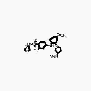 CNC1CCN(c2cc(OC(F)(F)F)ccc2Nc2ccc(S(=O)(=O)Nc3cscn3)c(F)c2)C1